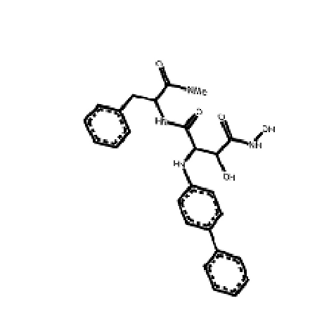 CNC(=O)C(Cc1ccccc1)NC(=O)C(Nc1ccc(-c2ccccc2)cc1)C(O)C(=O)NO